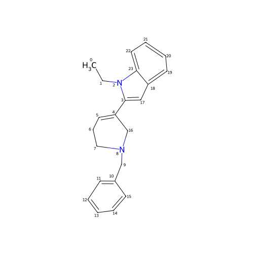 CCn1c(C2=CCCN(Cc3ccccc3)C2)cc2ccccc21